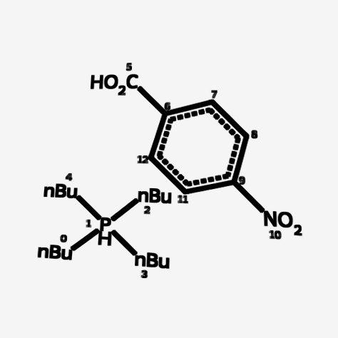 CCCC[PH](CCCC)(CCCC)CCCC.O=C(O)c1ccc([N+](=O)[O-])cc1